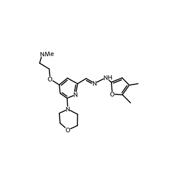 CNCCOc1cc(C=NNc2cc(C)c(C)o2)nc(N2CCOCC2)c1